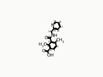 Cc1ccc(C(=O)O)c(C)c1C(=O)NCc1ccccn1